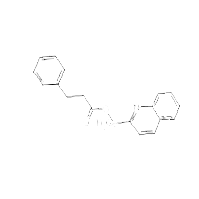 O=C(CCc1ccccc1)[O][GeH2][c]1ccc2ccccc2n1